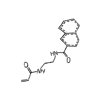 C=CC(=O)NCCNC(=O)c1ccc2ccccc2c1